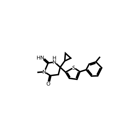 Cc1cccc(-c2ccc(C3(C4CC4)CC(=O)N(C)C(=N)N3)s2)c1